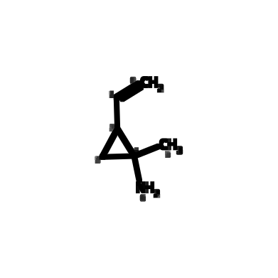 C=CC1CC1(C)N